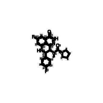 CN(C(=O)N1CCCC1)C1c2n[nH]c(=O)c3cc(F)cc(c23)NC1c1ccc(F)cc1